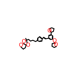 CC(C)(CCCCc1ccc(C=Cc2cc(OC3CCCCO3)cc(C3CCCCO3)c2)cc1)OC1OCCCC1=O